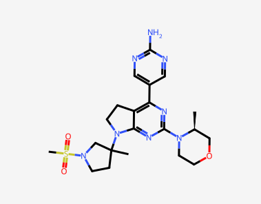 C[C@H]1COCCN1c1nc(-c2cnc(N)nc2)c2c(n1)N(C1(C)CCN(S(C)(=O)=O)C1)CC2